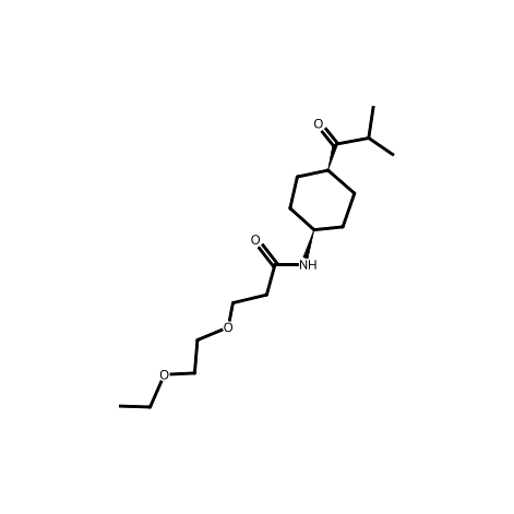 CCOCCOCCC(=O)N[C@H]1CC[C@@H](C(=O)C(C)C)CC1